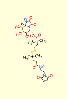 CC(C)(CCC(=O)NCCN1C(=O)C=CC1=O)SSCCC(C)(C)C(=O)OC[C@@H]1[C@@H](O)[C@H](O)[C@H](O)[C@H]2NC(=O)C(=O)N12